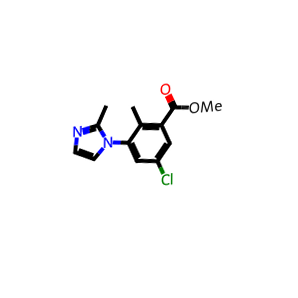 COC(=O)c1cc(Cl)cc(-n2ccnc2C)c1C